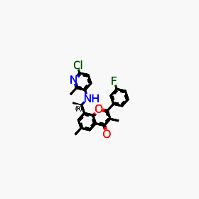 Cc1cc([C@@H](C)Nc2ccc(Cl)nc2C)c2oc(-c3cccc(F)c3)c(C)c(=O)c2c1